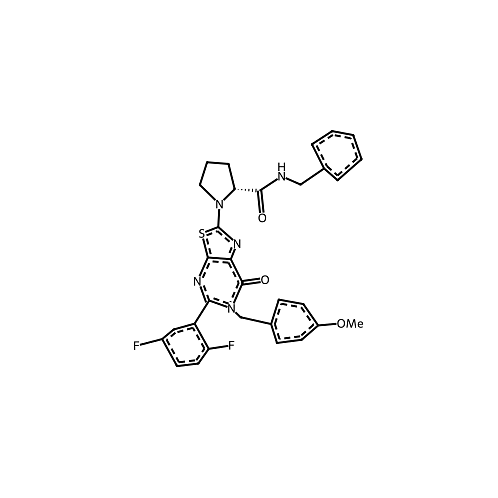 COc1ccc(Cn2c(-c3cc(F)ccc3F)nc3sc(N4CCC[C@@H]4C(=O)NCc4ccccc4)nc3c2=O)cc1